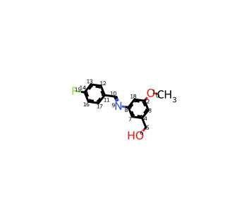 COc1cc(CO)cc(/N=C/c2ccc(F)cc2)c1